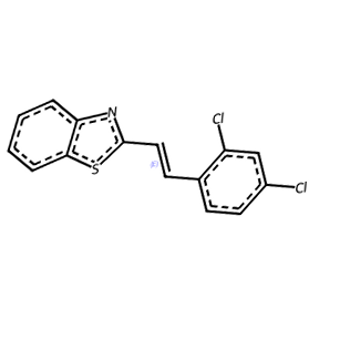 Clc1ccc(/C=C/c2nc3ccccc3s2)c(Cl)c1